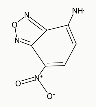 [NH]c1ccc([N+](=O)[O-])c2nonc12